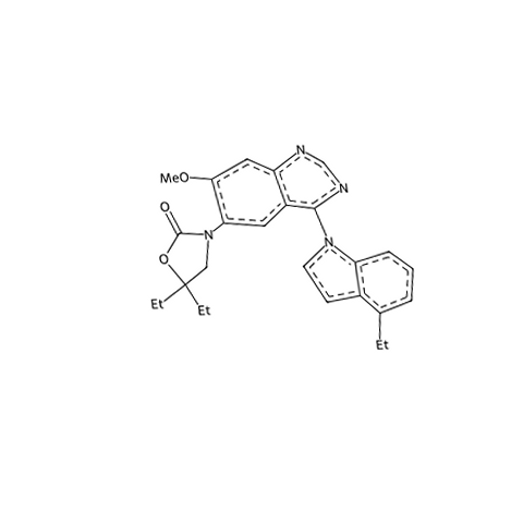 CCc1cccc2c1ccn2-c1ncnc2cc(OC)c(N3CC(CC)(CC)OC3=O)cc12